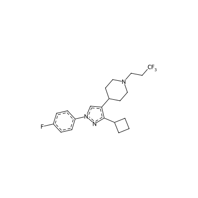 Fc1ccc(-n2cc(C3CCN(CCC(F)(F)F)CC3)c(C3CCC3)n2)cc1